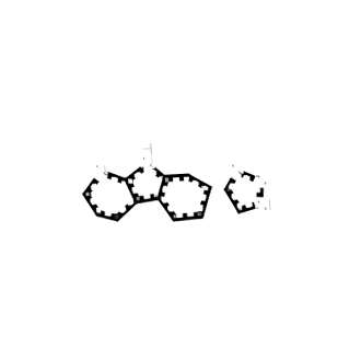 c1c[nH]nn1.c1ccc2c(c1)[nH]c1ncccc12